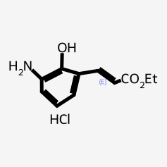 CCOC(=O)/C=C/c1cccc(N)c1O.Cl